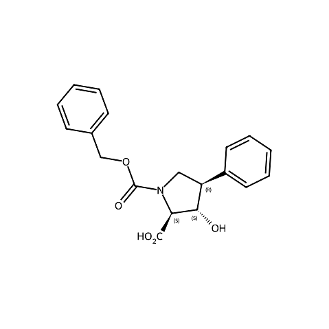 O=C(O)[C@@H]1[C@@H](O)[C@H](c2ccccc2)CN1C(=O)OCc1ccccc1